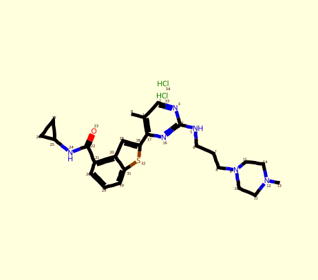 Cc1cnc(NCCCN2CCN(C)CC2)nc1-c1cc2c(C(=O)NC3CC3)cccc2s1.Cl.Cl